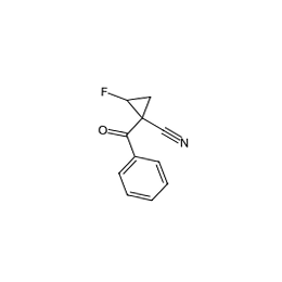 N#CC1(C(=O)c2ccccc2)CC1F